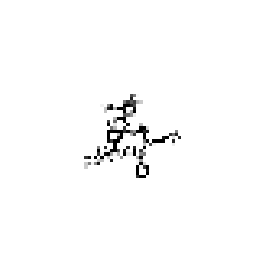 CCCc1cc(Cl)ccc1C1COc2ccc(C(O)C(=O)OC)cc2N(CC2CCC2C(/C=C/CCN(C)C(C)=O)OCCN2CCCCC2)C1